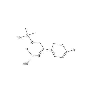 CC(C)(C)[S@+]([O-])N=C(CO[Si](C)(C)C(C)(C)C)c1ccc(Br)cc1